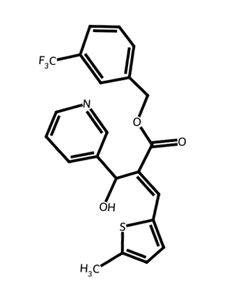 Cc1ccc(C=C(C(=O)OCc2cccc(C(F)(F)F)c2)C(O)c2cccnc2)s1